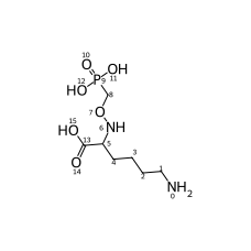 NCCCCC(NOCP(=O)(O)O)C(=O)O